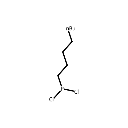 CCCCCCCCP(Cl)Cl